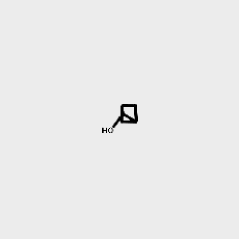 OC1C2CC1C2